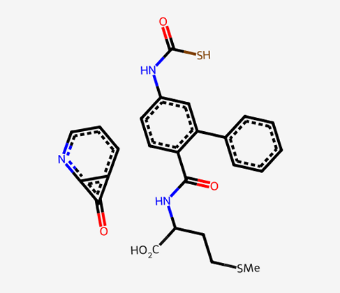 CSCCC(NC(=O)c1ccc(NC(=O)S)cc1-c1ccccc1)C(=O)O.O=c1c2cccnc12